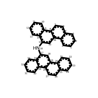 c1ccc2c(c1)ccc1c3ccccc3c(Nc3cc4c5ccccc5ccc4c4ccccc34)cc21